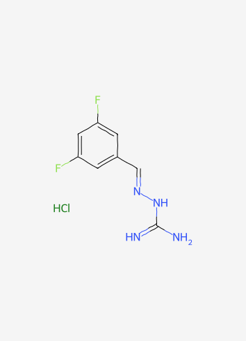 Cl.N=C(N)NN=Cc1cc(F)cc(F)c1